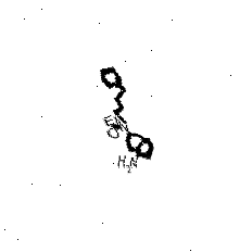 CCC(=O)N(CCCCCc1ccccc1)C1CCc2c(N)cccc2C1